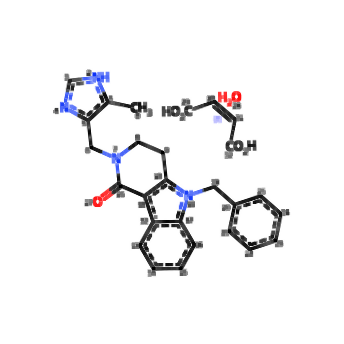 Cc1[nH]cnc1CN1CCc2c(c3ccccc3n2Cc2ccccc2)C1=O.O.O=C(O)/C=C\C(=O)O